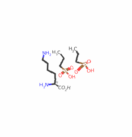 CCCS(=O)(=O)O.CCCS(=O)(=O)O.NCCCC[C@H](N)C(=O)O